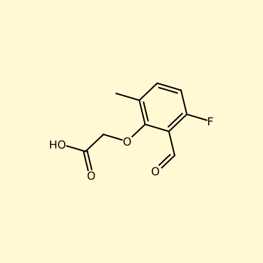 Cc1ccc(F)c(C=O)c1OCC(=O)O